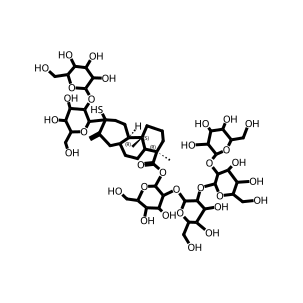 C=C1CC2CCC3[C@](C)(C(=O)OC4OC(CO)C(O)C(O)C4OC4OC(CO)C(O)C(O)C4OC4OC(CO)C(O)C(O)C4OC4OC(CO)C(O)C(O)C4O)CCC[C@@]3(C)[C@@H]2CCC1(S)C1OC(CO)C(O)C(O)C1OC1OC(CO)C(O)C(O)C1O